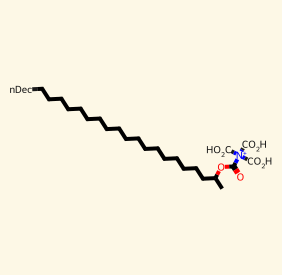 CCCCCCCCCCCCCCCCCCCCCCCCCCCCC(C)OC(=O)[N+](C(=O)O)(C(=O)O)C(=O)O